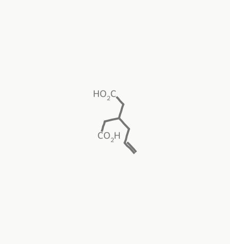 C=CCC(CC(=O)O)CC(=O)O